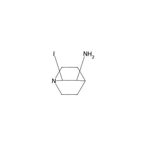 NC1C2CCN(CC2)C1I